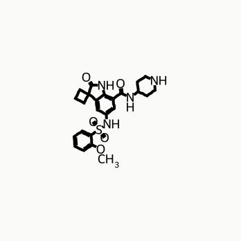 COc1ccccc1S(=O)(=O)Nc1cc(C(=O)NC2CCNCC2)c2c(c1)C1(CCC1)C(=O)N2